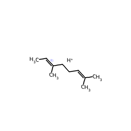 C/C=C(\C)CCC=C(C)C.[H+]